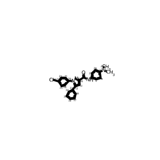 CN(C)c1ccc(NC(=O)c2cc(-c3ccccc3)n(-c3ccc(Cl)cc3)n2)cc1